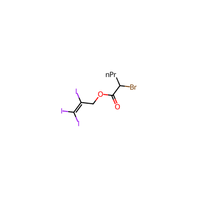 CCCC(Br)C(=O)OCC(I)=C(I)I